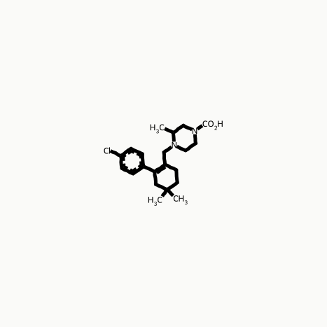 CC1CN(C(=O)O)CCN1CC1=C(c2ccc(Cl)cc2)CC(C)(C)CC1